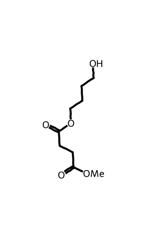 COC(=O)CCC(=O)OCCCCO